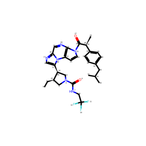 CC[C@@H]1CN(C(=O)NCC(F)(F)F)C[C@@H]1c1cnc2cnc3c(ccn3C(=O)[C@@H](C)c3ccc(CC(C)C)cc3)n12